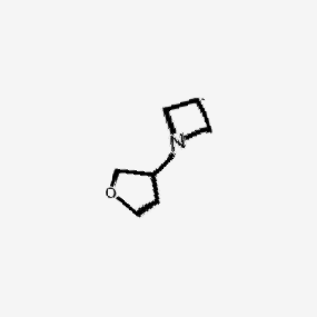 [CH]1CN(C2CCOC2)C1